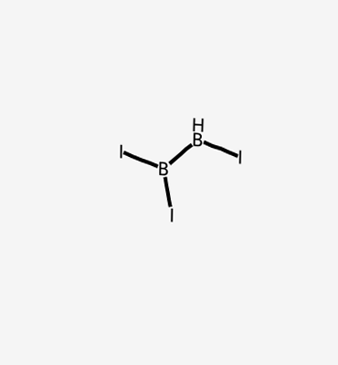 IBB(I)I